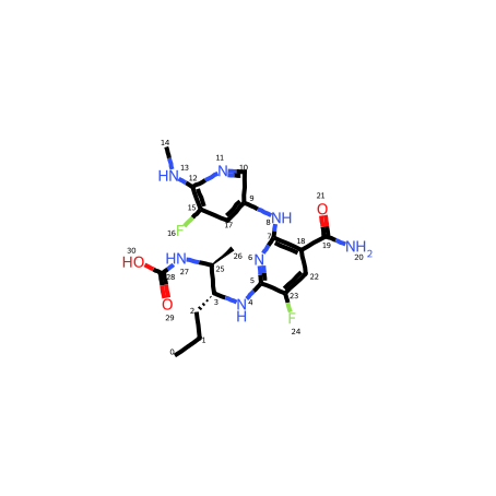 CCC[C@@H](Nc1nc(Nc2cnc(NC)c(F)c2)c(C(N)=O)cc1F)[C@H](C)NC(=O)O